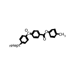 CCCCCCCc1cc[c]([Co](=[O])[c]2ccc(C(=O)Oc3ccc(C)cc3)cc2)cc1